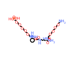 NCCOCCOCCOCCOCCC(=O)N[C@H](CCCCNC(=O)COC1CCCCCC2=C1NNN2CCOCCOCCOCCOCCOCCP(=O)(O)O)C(N)=O